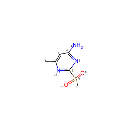 Cc1cc(N)nc(S(C)(=O)=O)n1